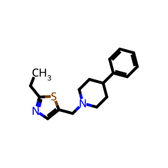 CCc1ncc(CN2CCC(c3ccccc3)CC2)s1